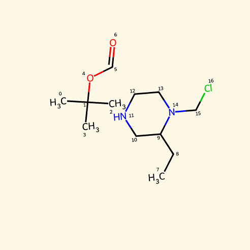 CC(C)(C)OC=O.CCC1CNCCN1CCl